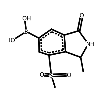 CC1NC(=O)c2cc(B(O)O)cc(S(C)(=O)=O)c21